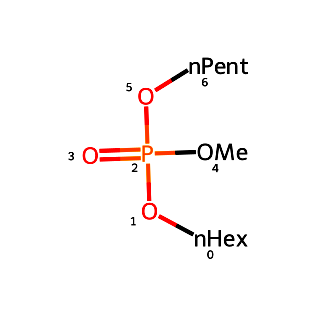 CCCCCCOP(=O)(OC)OCCCCC